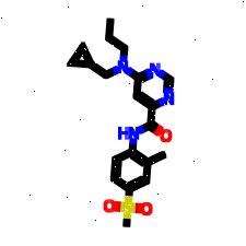 CCCN(CC1CC1)c1cc(C(=O)Nc2ccc(S(C)(=O)=O)cc2C)ncn1